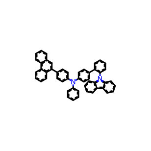 c1ccc(N(c2ccc(-c3ccccc3-n3c4ccccc4c4ccccc43)cc2)c2ccc(-c3cc4ccccc4c4ccccc34)cc2)cc1